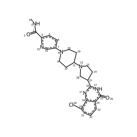 CNC(=O)c1ccc(N2CCC(N3CCC(c4nc5c(Cl)cccc5c(=O)[nH]4)C3)CC2)cn1